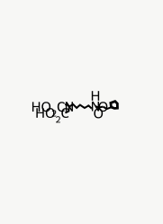 O=C(O)CN(CCCCCCNC(=O)OCc1ccccc1)CC(=O)O